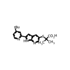 CC(C)(Sc1cnc2[nH]c(-c3cc(C(C)(C)C)ccn3)cc2c1)C(=O)O